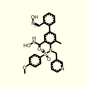 COc1ccc(S(=O)(=O)N(Cc2cccnc2)c2c(C)cc(-c3ccccc3/C=N\O)cc2C(=O)NO)cc1